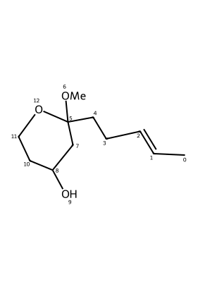 C/C=C/CCC1(OC)CC(O)CCO1